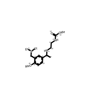 CCN(CC)Cc1cc(C(C)NCCNC(=O)OC)ccc1OC